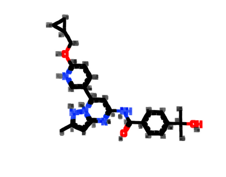 Cc1cc2nc(NC(=O)c3ccc(C(C)(C)O)cc3)cc(-c3ccc(OCC4CC4)nc3)n2n1